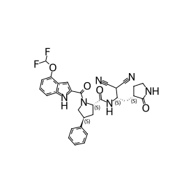 N#CC(C#N)[C@H](C[C@@H]1CCNC1=O)NC(=O)[C@@H]1C[C@@H](c2ccccc2)CN1C(=O)c1cc2c(OC(F)F)cccc2[nH]1